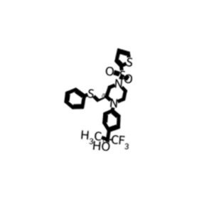 C[C@](O)(c1ccc(N2CCN(S(=O)(=O)c3cccs3)C[C@@H]2CSc2ccccc2)cc1)C(F)(F)F